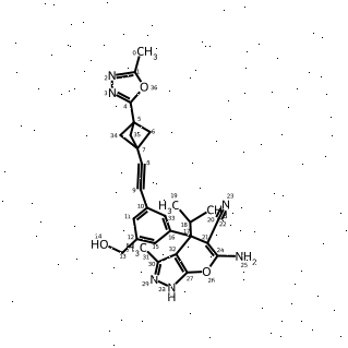 Cc1nnc(C23CC(C#Cc4cc(CO)cc(C5(C(C)C)C(C#N)=C(N)Oc6[nH]nc(C)c65)c4)(C2)C3)o1